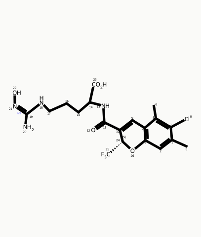 Cc1cc2c(c(C)c1Cl)C=C(C(=O)NC(CCCN/C(N)=N\O)C(=O)O)[C@@H](C(F)(F)F)O2